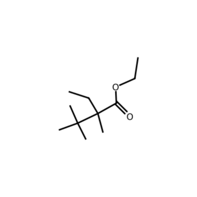 CCOC(=O)C(C)(CC)C(C)(C)C